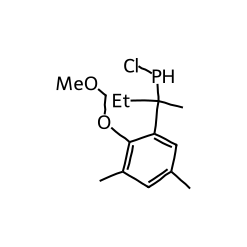 CCC(C)(PCl)c1cc(C)cc(C)c1OCOC